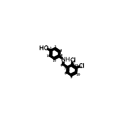 Oc1ccc(NCc2cccc(Cl)c2Cl)cc1